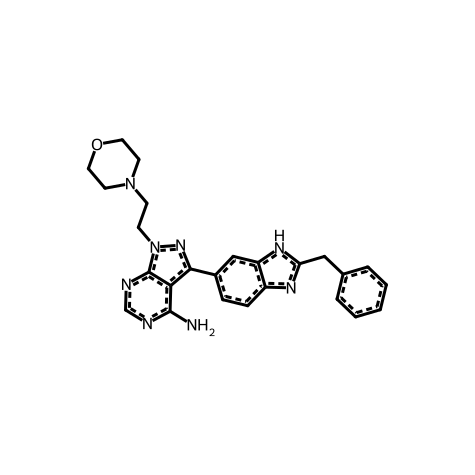 Nc1ncnc2c1c(-c1ccc3nc(Cc4ccccc4)[nH]c3c1)nn2CCN1CCOCC1